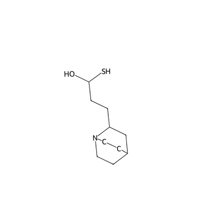 OC(S)CCC1CC2CCN1CC2